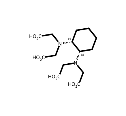 O=C(O)CN(CC(=O)O)[C@@H]1CCCC[C@@H]1N(CC(=O)O)CC(=O)O